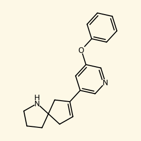 C1=C(c2cncc(Oc3ccccc3)c2)CC2(C1)CCCN2